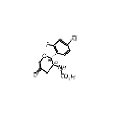 O=C1CO[C@H](c2ccc(Cl)cc2F)[C@@H](NC(=O)O)C1